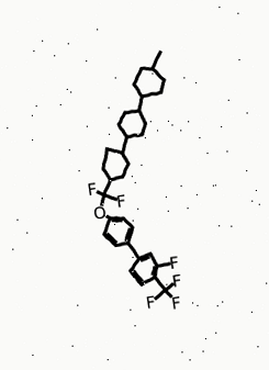 CC1CCC(C2CCC(C3CCC(C(F)(F)Oc4ccc(-c5ccc(C(F)(F)F)c(F)c5)cc4)CC3)CC2)CC1